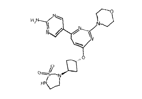 Nc1ncc(-c2cc(O[C@H]3C[C@H](N4CCNS4(=O)=O)C3)nc(N3CCOCC3)n2)cn1